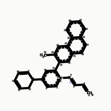 C=C/C=N/[n+]1ccc(C2C=CC=CC2)cc1-c1cc2ccc3ccccc3c2cc1C